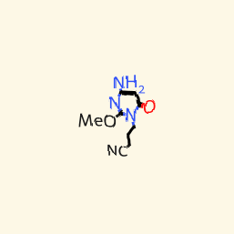 COc1nc(N)cc(=O)n1CCCC#N